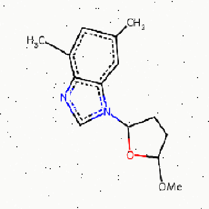 COC1CCC(n2cnc3c(C)cc(C)cc32)O1